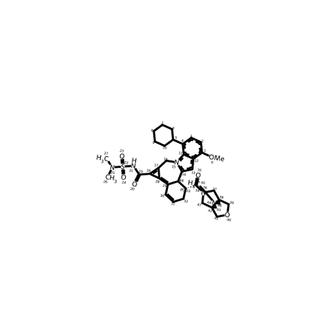 COc1ccc(C2CCCCC2)c2c1cc1n2CC2=C(C(=O)NS(=O)(=O)N(C)C)C2=C2C=CC[C@@H](C(=O)N3CC45COCC4(CN(C)C5)C3)C21